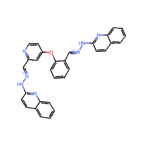 C(=N\Nc1ccc2ccccc2n1)/c1cc(Oc2ccccc2/C=N/Nc2ccc3ccccc3n2)ccn1